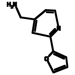 NCc1ccnc(-c2ccco2)c1